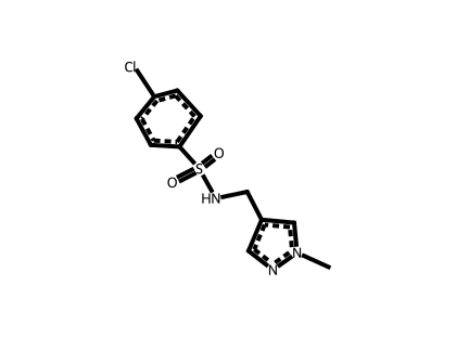 Cn1cc(CNS(=O)(=O)c2ccc(Cl)cc2)cn1